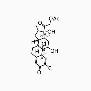 CC(=O)OCC(=O)[C@@]1(O)C(C)C[C@H]2[C@@H]3CCC4=CC(=O)C(Cl)=C[C@]4(C)[C@@]3(Cl)C(O)C[C@@]21C